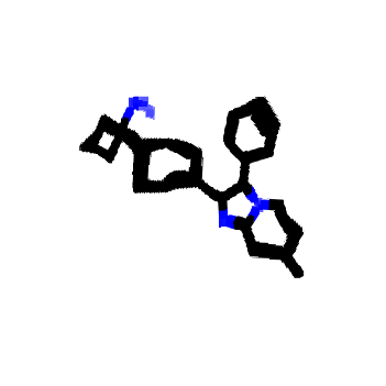 CC1=CC2=NC(c3ccc(C4(N)CCC4)cc3)C(c3ccccc3)N2C=C1